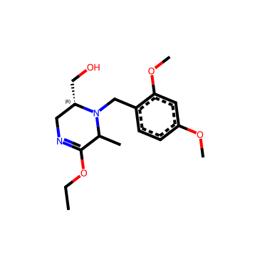 CCOC1=NC[C@H](CO)N(Cc2ccc(OC)cc2OC)C1C